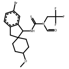 COC1CCC2(CC1)Cc1ccc(Br)cc1C2NC(=S)N(C=O)CC(F)(F)F